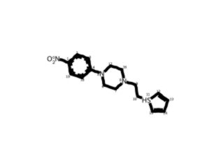 O=[N+]([O-])c1ccc(N2CCN(CC[SH]3C=CC=C3)CC2)cc1